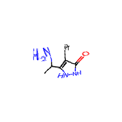 CC(C)c1c(C(C)N)[nH][nH]c1=O